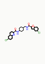 O=C(NC1CCC(CNC(=O)c2cc3cc(Cl)ccc3o2)CC1)c1ccc2cc(Cl)ccc2n1